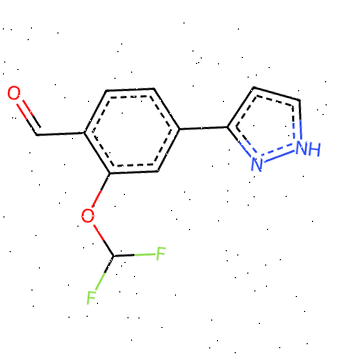 O=Cc1ccc(-c2cc[nH]n2)cc1OC(F)F